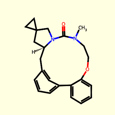 CN1CCOc2ccccc2-c2cccc(c2)C[C@H]2CC3(CC3)CN2C1=O